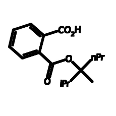 CCCC(C)(OC(=O)c1ccccc1C(=O)O)C(C)C